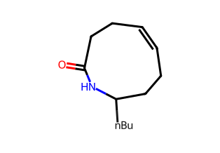 CCCCC1CC/C=C\CCC(=O)N1